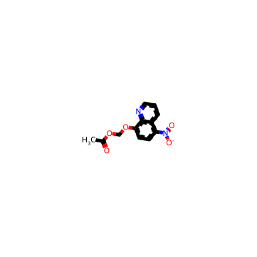 CC(=O)OCOc1ccc([N+](=O)[O-])c2cccnc12